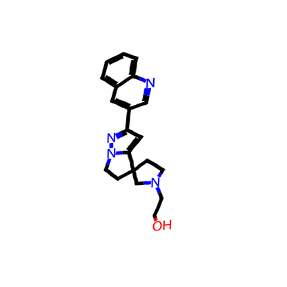 OCCN1CCC2(CCn3nc(-c4cnc5ccccc5c4)cc32)C1